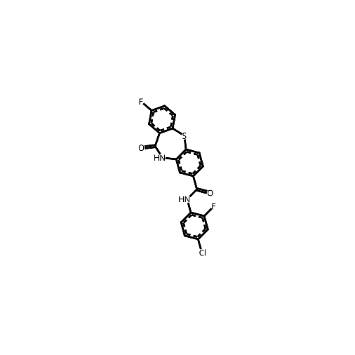 O=C(Nc1ccc(Cl)cc1F)c1ccc2c(c1)NC(=O)c1cc(F)ccc1S2